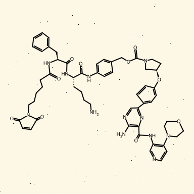 NCCCC[C@H](NC(=O)[C@H](Cc1ccccc1)NC(=O)CCCCCN1C(=O)C=CC1=O)C(=O)Nc1ccc(COC(=O)N2CC[C@@H](Oc3ccc(-c4cnc(N)c(C(=O)Nc5cnccc5N5CCOCC5)n4)cc3)C2)cc1